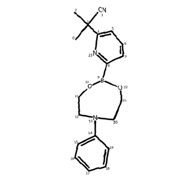 CC(C)(C#N)c1cccc(B2OCCN(c3ccccc3)CCO2)n1